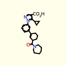 O=C(O)c1cnn(-c2cccc(C3=CC(C(=O)N4CCCCCC4)CCC3)c2)c1C1CC1